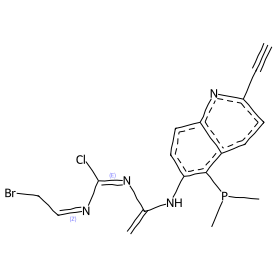 C#Cc1ccc2c(P(C)C)c(NC(=C)/N=C(Cl)\N=C/CBr)ccc2n1